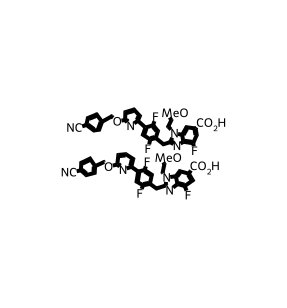 COCCn1c(Cc2cc(F)c(-c3cccc(OCc4ccc(C#N)cc4)n3)cc2F)nc2c(F)cc(C(=O)O)cc21.COCCn1c(Cc2cc(F)c(-c3cccc(OCc4ccc(C#N)cc4)n3)cc2F)nc2c(F)cc(C(=O)O)cc21